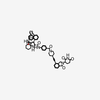 O=C1CCC(N2Cc3c(C#CC4CCN(C(=O)c5ccc(NC(=O)[C@@H]6NC7(CCCCC7)[C@@]7(C(=O)Nc8cc(Cl)ccc87)[C@H]6c6cccc(Cl)c6F)cc5)CC4)cccc3C2=O)C(=O)N1